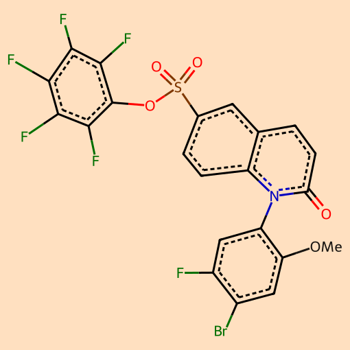 COc1cc(Br)c(F)cc1-n1c(=O)ccc2cc(S(=O)(=O)Oc3c(F)c(F)c(F)c(F)c3F)ccc21